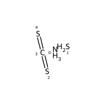 N.S.S=C=S